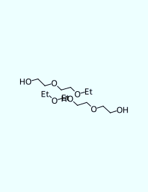 CCOCC.CCOCCOCCO.OCCOCCO